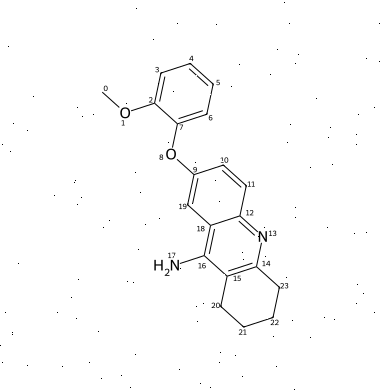 COc1ccccc1Oc1ccc2nc3c(c(N)c2c1)CCCC3